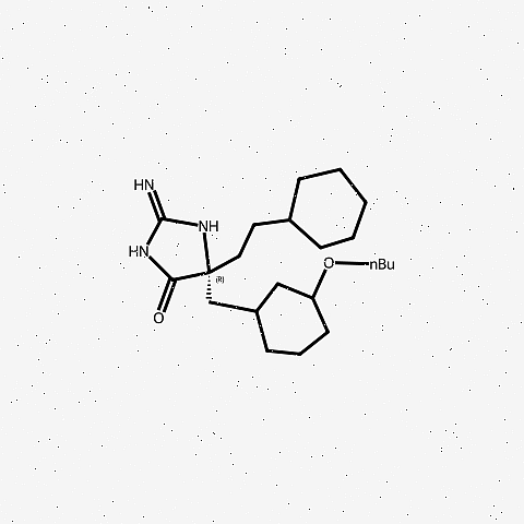 CCCCOC1CCCC(C[C@@]2(CCC3CCCCC3)NC(=N)NC2=O)C1